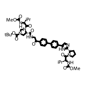 COC(=O)N[C@H](C(=O)N1CN(C(=O)OC(C)(C)C)C[C@H]1C(=O)NCC(=O)c1ccc(-c2ccc(-c3cnc([C@@H]4CCCN4C(=O)[C@@H](NC(=O)OC)C(C)C)[nH]3)cc2)cc1)C(C)C